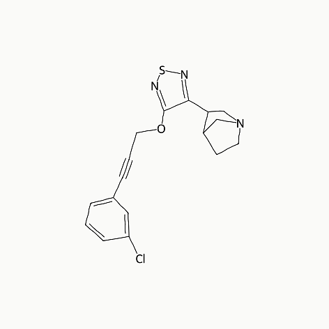 Clc1cccc(C#CCOc2nsnc2C2CN3CCC2C3)c1